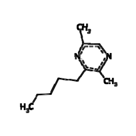 CCCCCc1nc(C)cnc1C